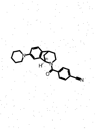 N#Cc1ccc(C(=O)N2CCC3C[C@@H]2c2cc(N4CCCCC4)ccc23)cc1